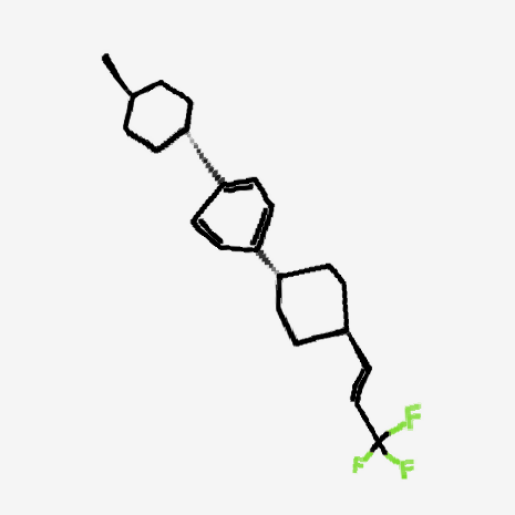 C[C@H]1CC[C@H](c2ccc([C@H]3CC[C@H](/C=C/C(F)(F)F)CC3)cc2)CC1